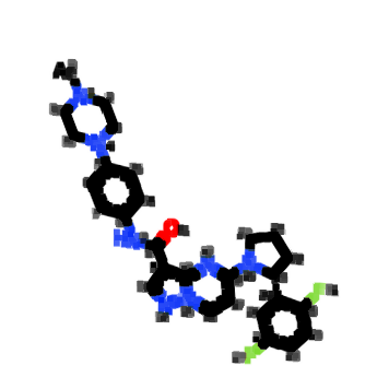 CC(=O)N1CCN(c2ccc(NC(=O)c3cnn4ccc(N5CCC[C@@H]5c5cc(F)ccc5F)nc34)cc2)CC1